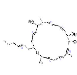 CCC/C=C/CC1C/C=C/C(O)C(C)/C=C/C=C\C(O)C(O)\C=C(C)/C=C/C=C/C(=O)N1